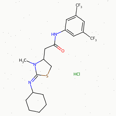 CN1C(=NC2CCCCC2)SCC1CC(=O)Nc1cc(C(F)(F)F)cc(C(F)(F)F)c1.Cl